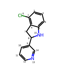 Clc1cccc2c1CC(c1cccnc1)N2